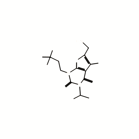 Cc1c(CN)sc2c1c(=O)n(C(C)C)c(=O)n2CCC(F)(F)F.Cl